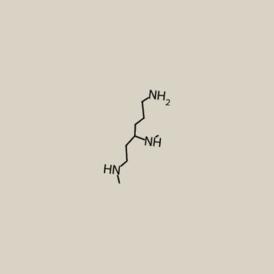 CNCCC(CCCN)NC